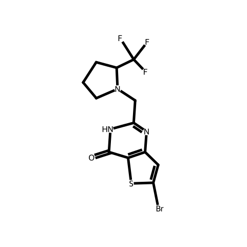 O=c1[nH]c(CN2CCCC2C(F)(F)F)nc2cc(Br)sc12